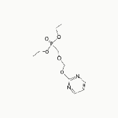 CCOP(=O)(COCOc1ncccn1)OCC